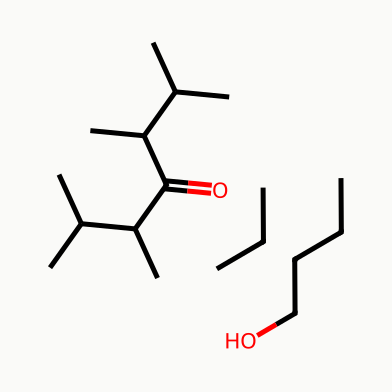 CC(C)C(C)C(=O)C(C)C(C)C.CCC.CCCCO